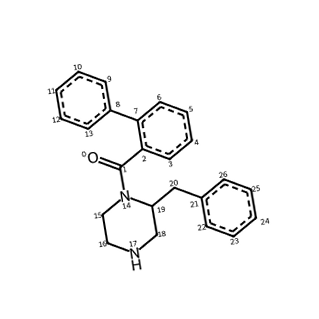 O=C(c1ccccc1-c1ccccc1)N1CCNCC1Cc1ccccc1